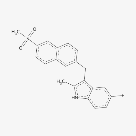 Cc1[nH]c2ccc(F)cc2c1Cc1ccc2cc(S(C)(=O)=O)ccc2c1